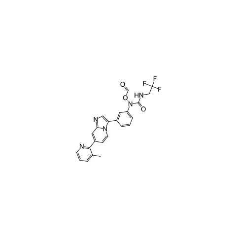 Cc1cccnc1-c1ccn2c(-c3cccc(N(OC=O)C(=O)NCC(F)(F)F)c3)cnc2c1